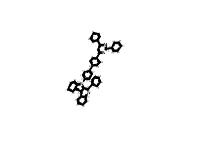 c1ccc(-c2cc(-c3ccc(-c4ccc(-n5c6ccccc6c6c7ccccc7nc(-c7ccccc7)c65)cc4)cc3)nc(-c3ccccc3)n2)cc1